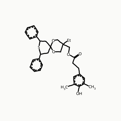 CCC1(COC(=O)CCc2cc(C)c(O)c(C)c2)COC2(CC(c3ccccc3)SC(c3ccccc3)C2)OC1